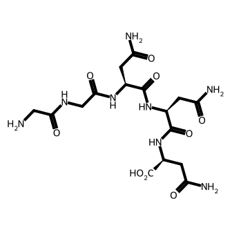 NCC(=O)NCC(=O)N[C@@H](CC(N)=O)C(=O)N[C@@H](CC(N)=O)C(=O)N[C@@H](CC(N)=O)C(=O)O